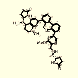 COc1nc(-c2cccc(-c3cccc(-c4ccc5c(n4)N(C)CCC5N(C)[C@H]4CCC(=O)N4)c3Cl)c2Cl)cnc1CNC[C@@H]1CCC(=O)N1